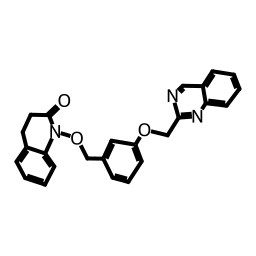 O=C1CCc2ccccc2N1OCc1cccc(OCc2ncc3ccccc3n2)c1